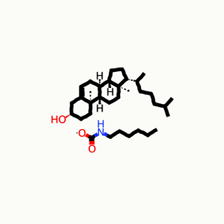 CC(C)CCCC(C)[C@H]1CC[C@H]2[C@@H]3CC=C4C[C@@H](O)CC[C@]4(C)[C@H]3CC[C@]12C.CCCCCCNC([O])=O